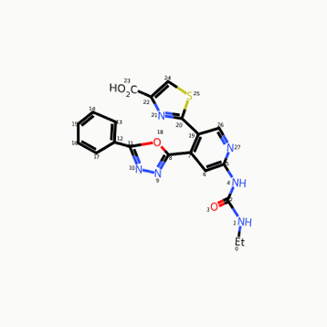 CCNC(=O)Nc1cc(-c2nnc(-c3ccccc3)o2)c(-c2nc(C(=O)O)cs2)cn1